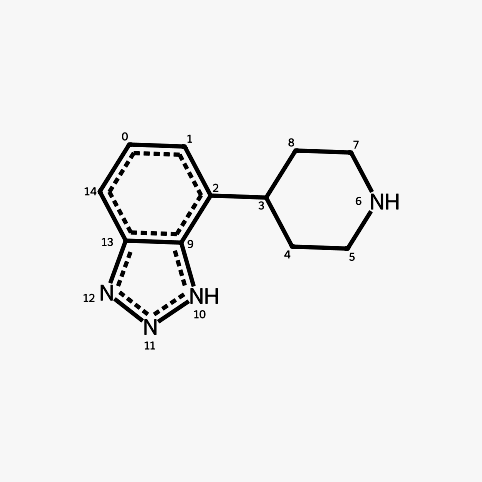 c1cc(C2CCNCC2)c2[nH]nnc2c1